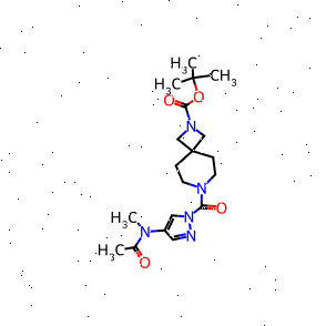 CC(=O)N(C)c1cnn(C(=O)N2CCC3(CC2)CN(C(=O)OC(C)(C)C)C3)c1